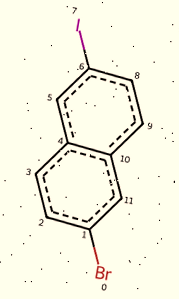 Brc1ccc2cc(I)ccc2c1